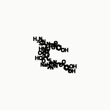 Cc1cc(SCC2=C(C(=O)O)N3C(=O)[C@@H](NC(=O)/C(=N\OCS(=O)(=O)C4=CCC(O)C=C4)c4csc(N)n4)[C@H]3SC2)n2nc(COC(=O)c3ccc(O)c(O)c3)nc2n1.[NaH]